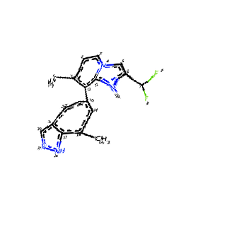 Cc1ccn2cc(C(F)F)nc2c1-c1cc(C)c2[nH]ncc2c1